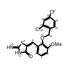 COc1cccc(C=C2SC(=N)NC2=O)c1OCc1ccc(Cl)cc1Cl